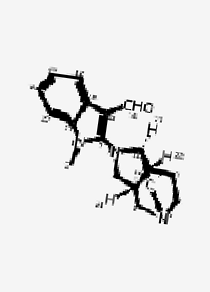 Cn1c(N2C[C@H]3C[N@]4CC[C@H]3[C@H]2C4)c(C=O)c2ccccc21